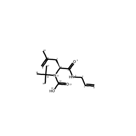 C=CCNC(=O)[C@H](CC(=C)C)N(C(=O)O)C(C)(C)C